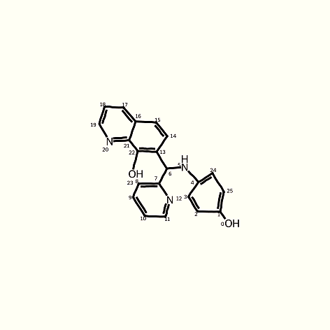 Oc1ccc(NC(c2ccccn2)c2ccc3cccnc3c2O)cc1